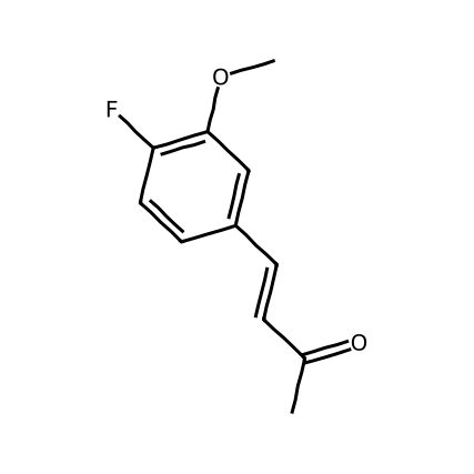 COc1cc(C=CC(C)=O)ccc1F